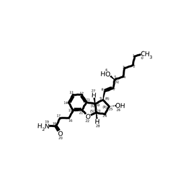 CCCCC[C@H](O)C=C[C@@H]1[C@H]2c3cccc(CCC(N)=O)c3O[C@H]2C[C@H]1O